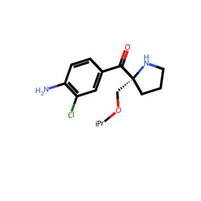 CC(C)OC[C@@]1(C(=O)c2ccc(N)c(Cl)c2)CCCN1